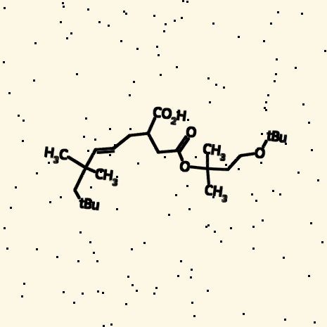 CC(C)(C)CC(C)(C)/C=C/CC(CC(=O)OC(C)(C)CCOC(C)(C)C)C(=O)O